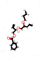 C=CCC(CO[C@](C)(C=C)COC(=O)c1ccccc1)OCCCC